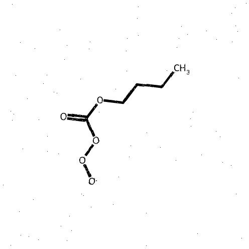 CCCCOC(=O)OO[O]